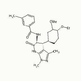 CCOC1CC[C@@H]([C@@H]2c3c(C)nn(C)c3NC(=O)[C@H]2NC(=O)c2cccc(C)c2)CC1OC